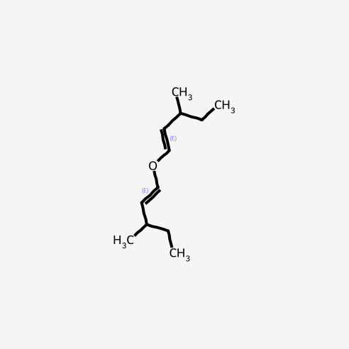 CCC(C)/C=C/O/C=C/C(C)CC